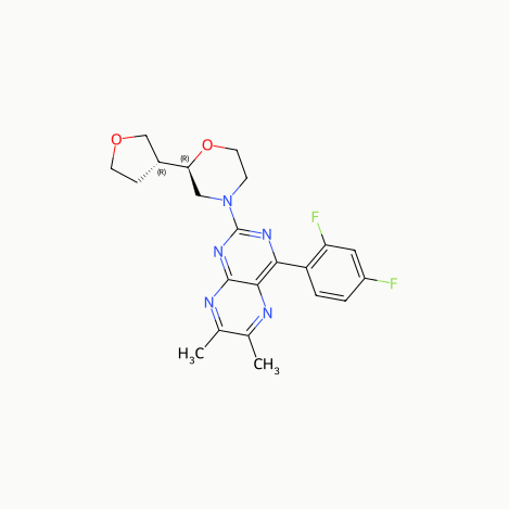 Cc1nc2nc(N3CCO[C@H]([C@@H]4CCOC4)C3)nc(-c3ccc(F)cc3F)c2nc1C